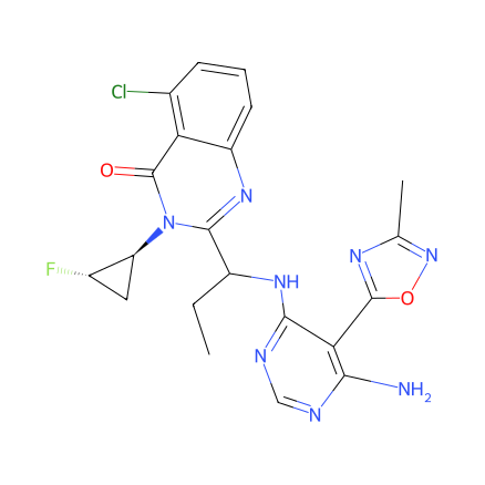 CCC(Nc1ncnc(N)c1-c1nc(C)no1)c1nc2cccc(Cl)c2c(=O)n1[C@H]1C[C@@H]1F